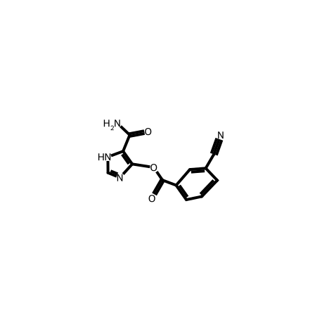 N#Cc1cccc(C(=O)Oc2nc[nH]c2C(N)=O)c1